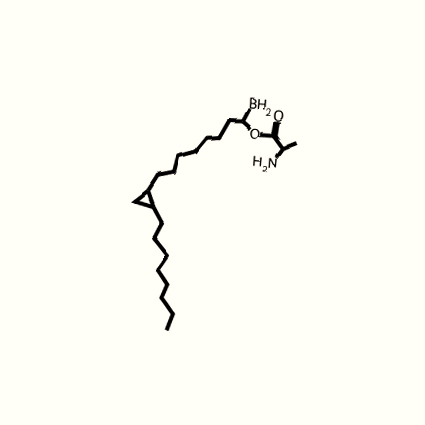 BC(CCCCCCCC1CC1CCCCCCCC)OC(=O)C(C)N